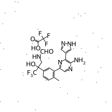 Cc1ccc(C(O)(CNC=O)C(F)(F)F)cc1-c1cnc(N)c(-c2cn[nH]c2)n1.O=C(O)C(F)(F)F